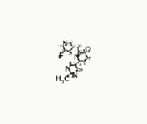 Cc1ncc(-c2ccc(=O)n(Cc3cncc(F)c3)n2)cn1